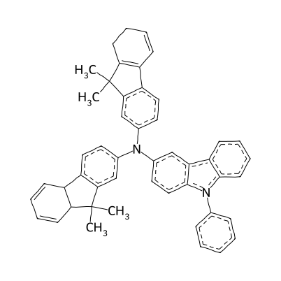 CC1(C)C2=C(C=CCC2)c2ccc(N(c3ccc4c(c3)C(C)(C)C3C=CC=CC43)c3ccc4c(c3)c3ccccc3n4-c3ccccc3)cc21